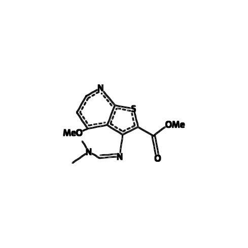 COC(=O)c1sc2nccc(OC)c2c1/N=C\N(C)C